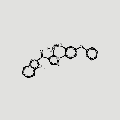 COc1cc(Oc2ccccc2)ccc1-n1ncc(C(=O)c2cc3ccccc3[nH]2)c1N